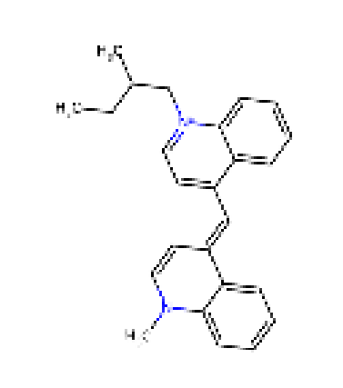 CCC(C)C[n+]1ccc(/C=C2\C=CN(C)c3ccccc32)c2ccccc21